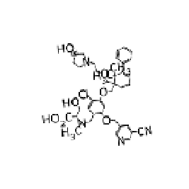 CN(Cc1cc(Cl)c(OCC2(COCCN3CC[C@@H](O)C3)C=CC=C(c3ccccc3)C2(C)C)cc1OCc1cncc(C#N)c1)C(CO)C(=O)O